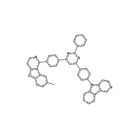 Cc1ccc2oc3ccnc(-c4ccc(-c5cc(-c6ccc(-n7c8ccccc8c8cnccc87)cc6)nc(-c6ccccc6)n5)cc4)c3c2c1